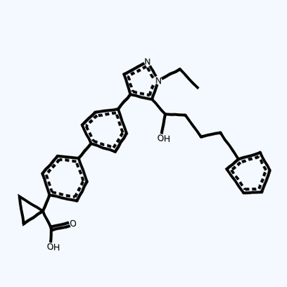 CCn1ncc(-c2ccc(-c3ccc(C4(C(=O)O)CC4)cc3)cc2)c1C(O)CCCc1ccccc1